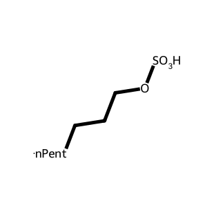 CCCC[CH]CCCOS(=O)(=O)O